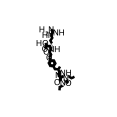 CCCn1c(=O)c2nc(C(C)Cc3ccc(OCC(=O)N[C@@H](CCCNC(=N)N)C(=O)O)cc3)[nH]c2n(CCC)c1=O